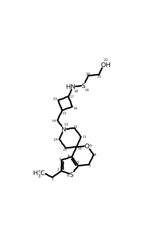 CCc1cc2c(s1)CCOC21CCN(CC2CC(NSCCO)C2)CC1